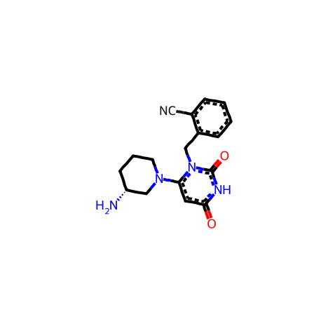 N#Cc1ccccc1Cn1c(N2CCC[C@@H](N)C2)cc(=O)[nH]c1=O